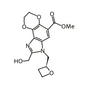 COC(=O)c1cc2c(nc(CO)n2C[C@@H]2CCO2)c2c1OCCO2